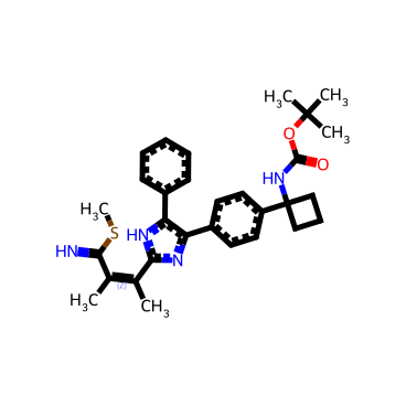 CSC(=N)/C(C)=C(/C)c1nc(-c2ccc(C3(NC(=O)OC(C)(C)C)CCC3)cc2)c(-c2ccccc2)[nH]1